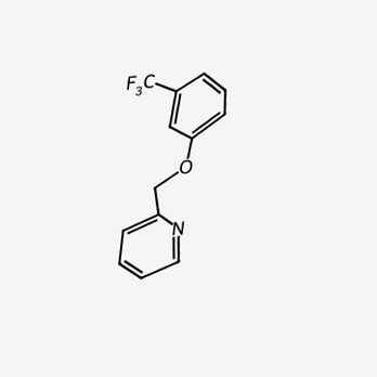 FC(F)(F)c1cccc(OCc2ccccn2)c1